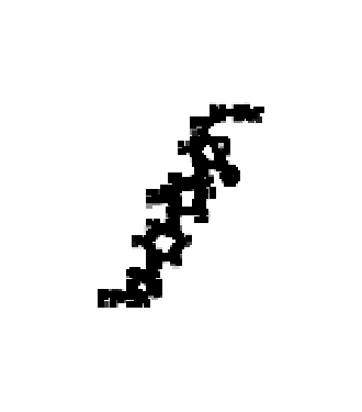 CCc1nnc(N2CCN(c3ccc(N4C[C@H](CNC(C)=O)OC4=O)cc3F)CC2)s1